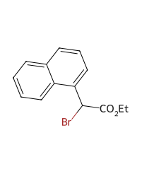 CCOC(=O)C(Br)c1cccc2ccccc12